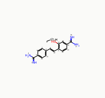 CS(=O)(=O)O.N=C(N)c1ccc(/C=C/c2ccc(C(=N)N)cc2O)cc1